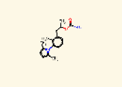 Cc1c(CC(C)OC(N)=O)cccc1-n1c(C)ccc1C